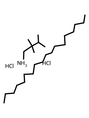 CCC(C)(C)C(C)C.CCCCCCCCCCCCCCCCCC.Cl.Cl.N